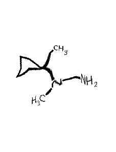 CN(N)C1(C)CC1